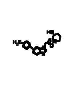 Cc1ccc(-c2ccc3ncn(CC(=O)C[C@H]4NCCC[C@@H]4O)c3c2)cc1